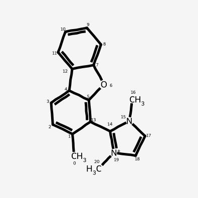 Cc1ccc2c(oc3ccccc32)c1-c1n(C)cc[n+]1C